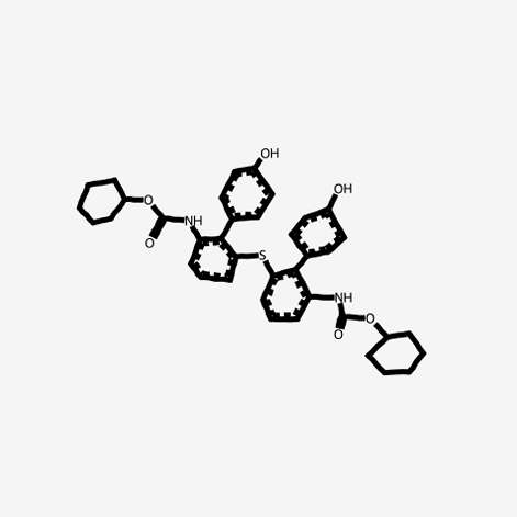 O=C(Nc1cccc(Sc2cccc(NC(=O)OC3CCCCC3)c2-c2ccc(O)cc2)c1-c1ccc(O)cc1)OC1CCCCC1